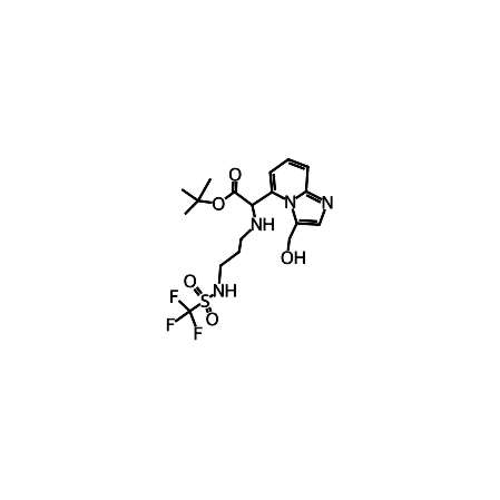 CC(C)(C)OC(=O)C(NCCCNS(=O)(=O)C(F)(F)F)c1cccc2ncc(CO)n12